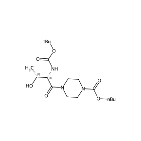 CCCCOC(=O)N1CCN(C(=O)[C@@H](NC(=O)OC(C)(C)C)[C@@H](C)O)CC1